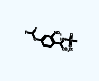 CCOC(=O)C(NS(C)(=O)=O)c1ccc(OC(F)F)cc1[N+](=O)[O-]